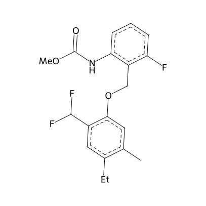 CCc1cc(C(F)F)c(OCc2c(F)cccc2NC(=O)OC)cc1C